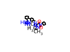 Cc1nc2c(c(=O)n(-c3ccccc3)c(=O)n2CC(C)C)n1Cc1ccc(-c2ccccc2-c2nnn[nH]2)cc1